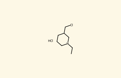 CCN1CCCC(CCl)C1.Cl